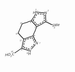 CSc1n[nH]c2c1-c1n[nH]c(C(=O)O)c1CC2